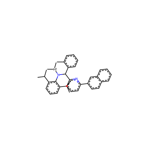 Cc1ccccc1C(c1cccc(-c2ccc3ccccc3c2)n1)[N](c1c(C(C)C)cccc1C(C)C)[Hf]([CH3])[CH3]